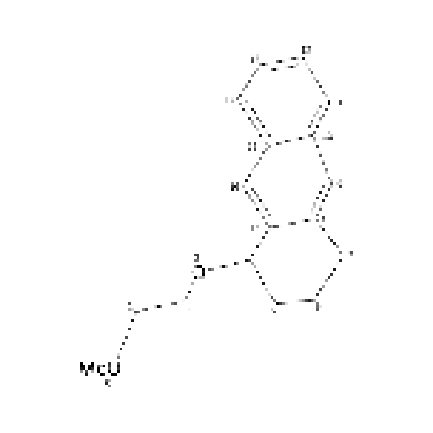 COCCOC1CCCc2cc3ccccc3cc21